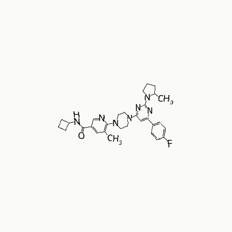 Cc1cc(C(=O)NC2CCC2)cnc1N1CCN(c2cc(-c3ccc(F)cc3)nc(N3CCCC3C)n2)CC1